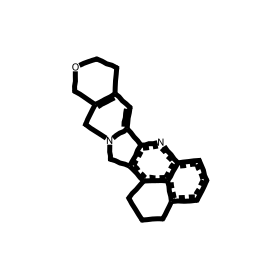 C1=C2c3nc4cccc5c4c(c3CN2CC2=C1CCOC2)CCC5